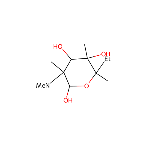 CCC1(C)OC(O)C(C)(NC)C(O)C1(C)O